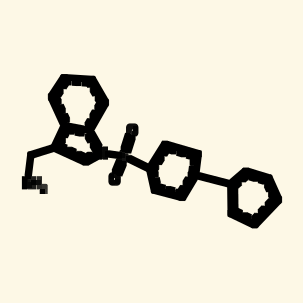 NCc1cn(S(=O)(=O)c2ccc(-c3ccccc3)cc2)c2ccccc12